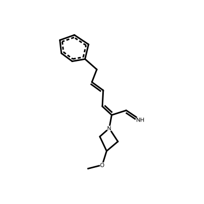 COC1CN(/C(C=N)=C/C=C/Cc2ccccc2)C1